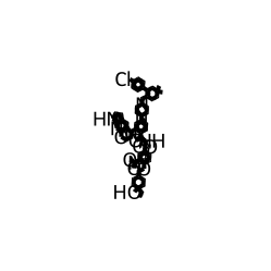 CCC1(O)CCC(COc2ccc(S(=O)(=O)NC(=O)c3ccc(N4CCN(CC5=C(c6ccc(Cl)cc6)CC(C)(C)CC5)CC4)cc3N3CCOc4nc5[nH]ccc5cc43)cc2[N+](=O)[O-])CC1